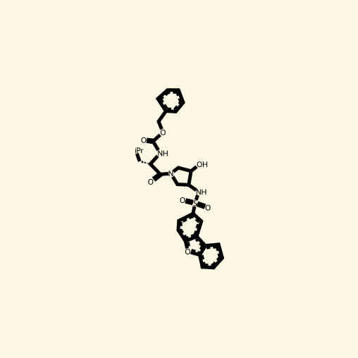 CC(C)C[C@H](NC(=O)OCc1ccccc1)C(=O)N1CC(O)C(NS(=O)(=O)c2ccc3oc4ccccc4c3c2)C1